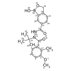 COc1cccc(C(=O)N(NC(=O)c2ccc3c(c2)B(O)OC3)C(C)(C)C)c1C